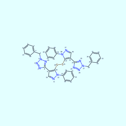 c1ccc(Cn2nnc(-c3cnn(-c4ccccc4)c3SSc3c(-c4nnn(Cc5ccccc5)n4)cnn3-c3ccccc3)n2)cc1